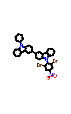 O=[N+]([O-])c1cc(Br)c(-n2c3ccccc3c3cc(-c4ccc5c(c4)c4ccccc4n5-c4ccccc4)ccc32)c(Br)c1